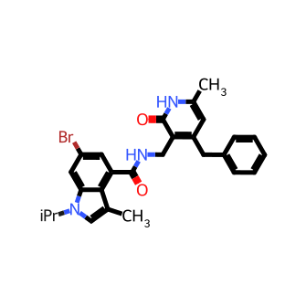 Cc1cc(Cc2ccccc2)c(CNC(=O)c2cc(Br)cc3c2c(C)cn3C(C)C)c(=O)[nH]1